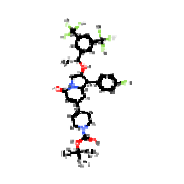 C[C@@H](OC1CN2C(=O)C=C(C3=CCN(C(=O)OC(C)(C)C)CC3)CC2[C@@H]1c1ccc(F)cc1)c1cc(C(F)(F)F)cc(C(F)(F)F)c1